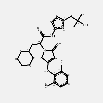 CC(C)(O)Cn1ccc(NC(=O)C(CC2CCCCC2)N2CC(Oc3c(F)cccc3Cl)=CC2=O)n1